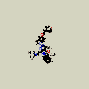 CN(C)CCCc1nc(N2CCc3cc(OCCC4CCOCC4)ccc32)nc(C(F)(F)F)c1C(=O)NC1(C(=O)O)C2CC3CC(C2)CC1C3